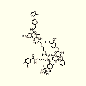 COc1cc(CC(=O)N[C@@H](Cc2ccccc2)C(=O)N[C@@H](Cc2ccc(C(F)(F)P(=O)(O)O)cc2)C(=O)N[C@@H](CCCCNC(=O)c2ccc(C)c(Br)c2)C(=O)NCCCCCC(=O)N[C@H](C(=O)N2C[C@H](O)C[C@H]2C(=O)NCc2ccc(-c3scnc3C)cc2)C(C)(C)C)ccc1O